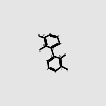 Cc1[c]ccc(-c2cccc(C)c2C)c1C